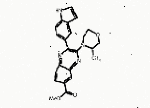 COC(=O)c1ccc2nc(-c3ccc4[nH]ccc4c3)c(N3CCOCC3C)nc2c1